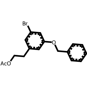 CC(=O)OCCc1cc(Br)cc(OCc2ccccc2)c1